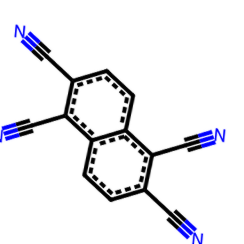 N#Cc1ccc2c(C#N)c(C#N)ccc2c1C#N